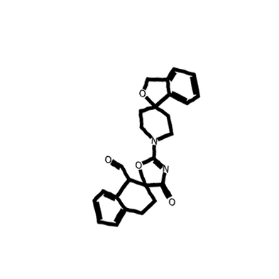 O=CC1c2ccccc2CCC12OC(N1CCC3(CC1)OCc1ccccc13)=NC2=O